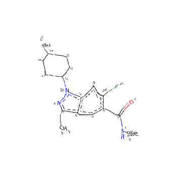 CSNC(=O)c1cc2c(C)nn(C3CCC(C(C)(C)C)CC3)c2cc1F